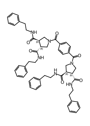 O=C(NCCc1ccccc1)[C@H]1CN(C(=O)c2ccc(C(=O)N3C[C@H](C(=O)NCCc4ccccc4)[C@@H](C(=O)NCCc4ccccc4)C3)cc2)C[C@@H]1C(=O)NCCc1ccccc1